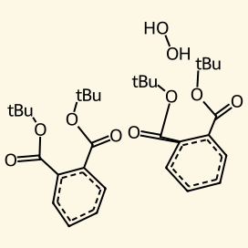 CC(C)(C)OC(=O)c1ccccc1C(=O)OC(C)(C)C.CC(C)(C)OC(=O)c1ccccc1C(=O)OC(C)(C)C.OO